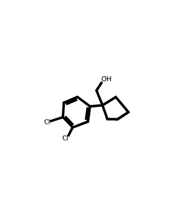 OCC1(c2ccc(Cl)c(Cl)c2)CCCC1